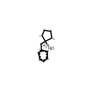 Cl.NC1(Cc2ccccc2)CCCC1